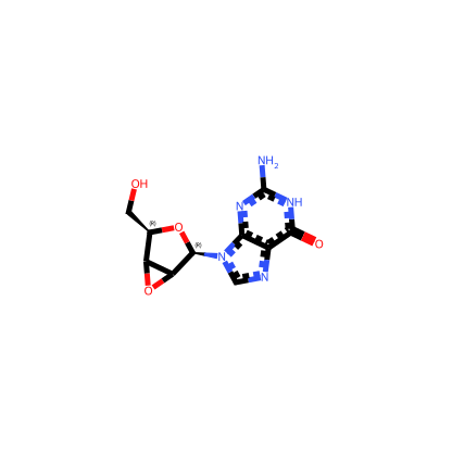 Nc1nc2c(ncn2[C@@H]2O[C@H](CO)C3OC32)c(=O)[nH]1